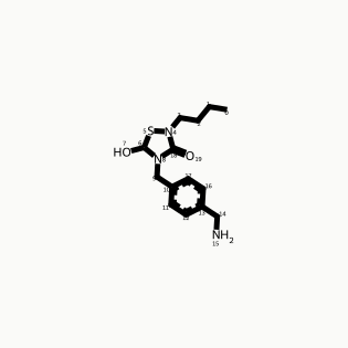 CCCCN1SC(O)N(Cc2ccc(CN)cc2)C1=O